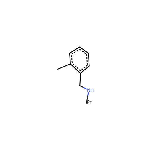 Cc1ccccc1CNC(C)C